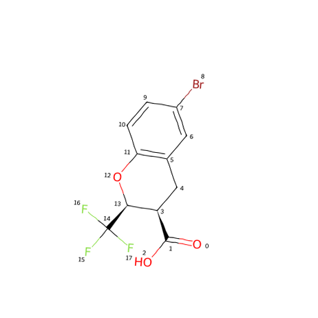 O=C(O)[C@@H]1Cc2cc(Br)ccc2O[C@@H]1C(F)(F)F